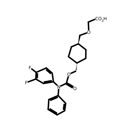 O=C(O)COC[C@H]1CC[C@H](COC(=O)N(c2ccccc2)c2ccc(F)c(F)c2)CC1